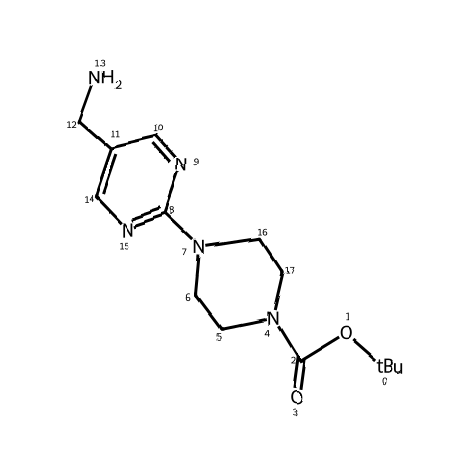 CC(C)(C)OC(=O)N1CCN(c2ncc(CN)cn2)CC1